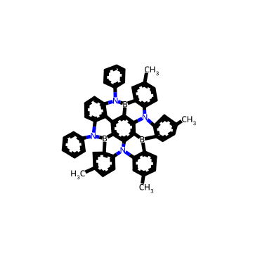 Cc1ccc2c(c1)B1c3c4c5c6c7c3N2c2cc(C)ccc2B7c2ccc(C)cc2N6c2ccc(C)cc2B5N(c2ccccc2)c2cccc(c2-4)N1c1ccccc1